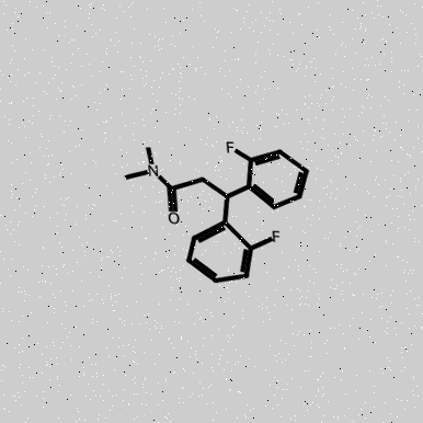 CN(C)C(=O)CC(c1ccccc1F)c1ccccc1F